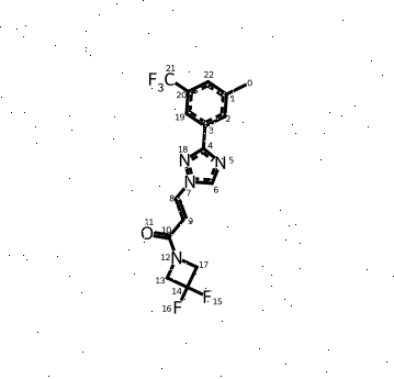 Cc1cc(-c2ncn(/C=C/C(=O)N3CC(F)(F)C3)n2)cc(C(F)(F)F)c1